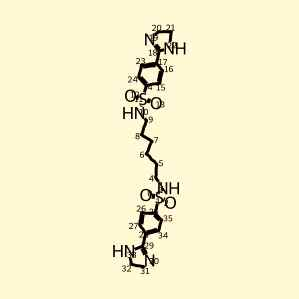 O=S(=O)(NCCCCCCNS(=O)(=O)c1ccc(C2=NCCN2)cc1)c1ccc(C2=NCCN2)cc1